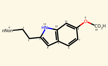 CCCCCCCCCCCc1cc2ccc(OC(=O)O)cc2[nH]1